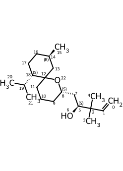 C=CC(C)(C)[C@@H](O)C[C@@H]1CCCC2(C[C@H](C)CC[C@H]2C(C)C)O1